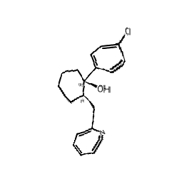 O[C@]1(c2ccc(Cl)cc2)CCCC[C@@H]1Cc1ccccn1